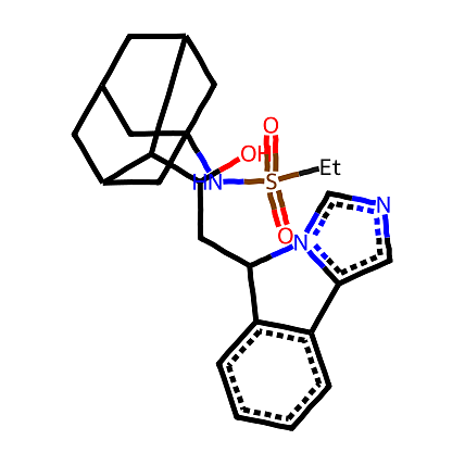 CCS(=O)(=O)NC12CC3CC(C1)C(C(O)CC1c4ccccc4-c4cncn41)C(C3)C2